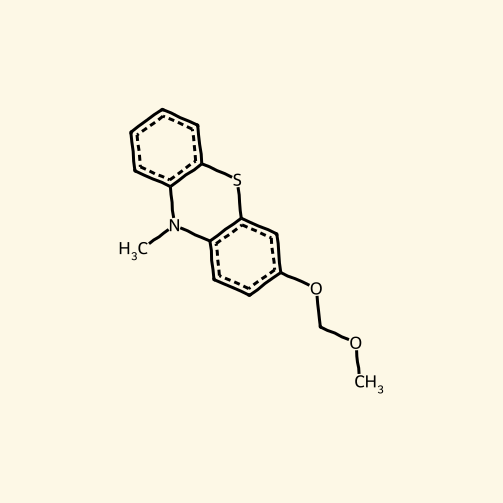 COCOc1ccc2c(c1)Sc1ccccc1N2C